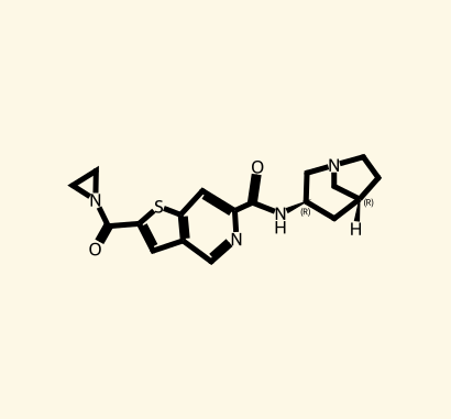 O=C(N[C@@H]1C[C@H]2CCN(C2)C1)c1cc2sc(C(=O)N3CC3)cc2cn1